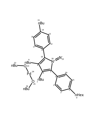 CCCCCCc1ccc(C2=C(CCCC)C(CCCC)=C(c3ccc(CCCC)cc3)[N+]2=[N-])cc1.CCCC[O][Pd][O]CCCC